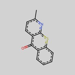 Cc1ccc2c(=O)c3ccccc3sc2n1